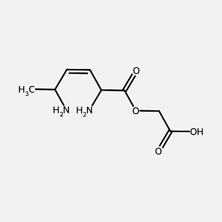 CC(N)/C=C\C(N)C(=O)OCC(=O)O